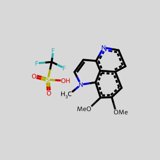 COc1cc2ccnc3c2c(c1OC)N(C)C=C3.O=S(=O)(O)C(F)(F)F